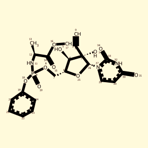 C#C[C@]1(O)[C@H](O)[C@@H](COP(=O)(N[C@@H](C)C(=O)OC)Oc2ccccc2)O[C@H]1n1ccc(=O)[nH]c1=O